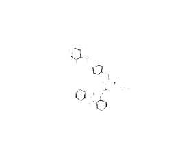 COC(=O)C(Cc1ccc(OC(=O)c2c(Cl)cncc2Cl)cc1)NC(=O)Nc1ccccc1S(=O)(=O)c1ccccc1